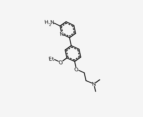 CCOc1cc(-c2cccc(N)n2)ccc1OCCN(C)C